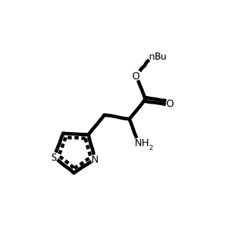 CCCCOC(=O)C(N)Cc1cscn1